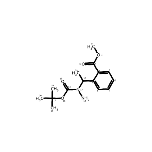 COC(=O)c1ccccc1C(C)N(N)C(=O)OC(C)(C)C